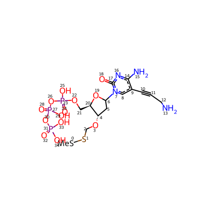 CSSCO[C@H]1CC(n2cc(C#CCN)c(N)nc2=O)O[C@@H]1COP(=O)(O)OP(=O)(O)OP(=O)(O)O